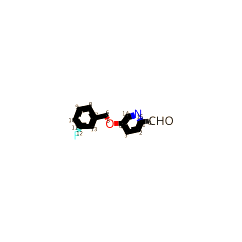 O=Cc1ccc(OCc2cccc(F)c2)cn1